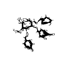 CO[C@H]1O[C@H](COCc2ccccc2)[C@@H](OCc2ccc(Cl)cc2)[C@H](OCc2ccc(Br)cc2)[C@H]1OC